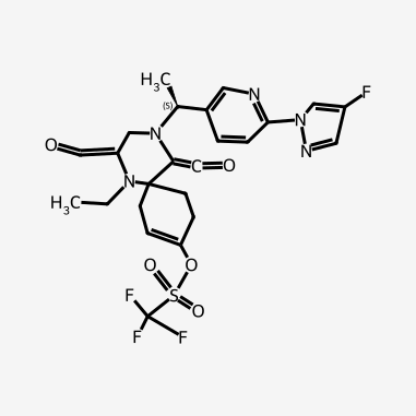 CCN1C(=C=O)CN([C@@H](C)c2ccc(-n3cc(F)cn3)nc2)C(=C=O)C12CC=C(OS(=O)(=O)C(F)(F)F)CC2